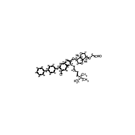 CS(C)(C)CCOCn1c(O[C@@H]2CO[C@H]3[C@@H]2OC[C@H]3OCC=O)nc2nc(-c3ccc(-c4ccccc4)cc3)c(Cl)cc21